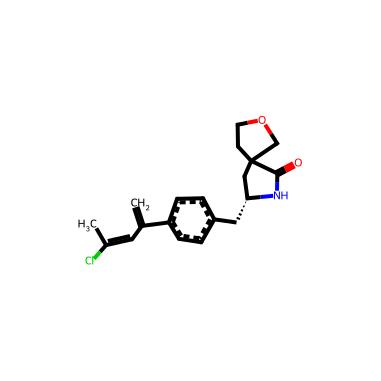 C=C(/C=C(\C)Cl)c1ccc(C[C@@H]2CC3(CCOC3)C(=O)N2)cc1